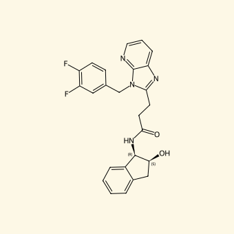 O=C(CCc1nc2cccnc2n1Cc1ccc(F)c(F)c1)N[C@@H]1c2ccccc2C[C@@H]1O